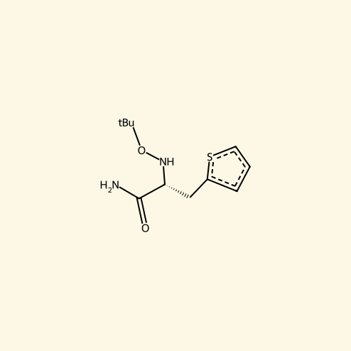 CC(C)(C)ON[C@H](Cc1cccs1)C(N)=O